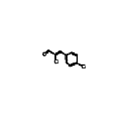 O=C/C(Cl)=C/c1ccc(Cl)cc1